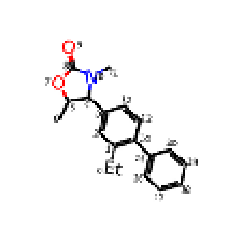 CCc1cc(C2C(C)OC(=O)N2C)ccc1-c1ccccc1